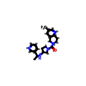 CC(NC1CCN(C(=O)N2CCc3ncc(C(F)(F)F)cc3C2)C1)c1cccnc1